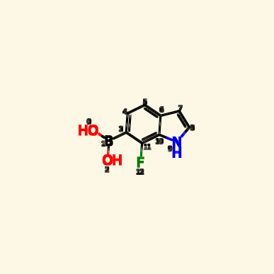 OB(O)c1ccc2cc[nH]c2c1F